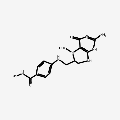 CC(C)NC(=O)c1ccc(NCC2CNc3[nH]c(N)nc(=O)c3N2C=O)cc1